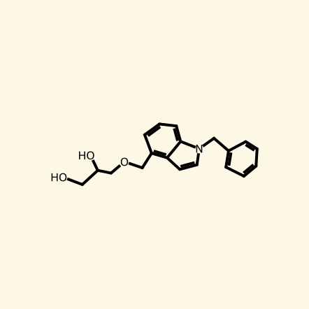 OCC(O)COCc1cccc2c1ccn2Cc1ccccc1